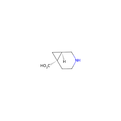 O=C(O)[C@@]12CCNC[C@@H]1C2